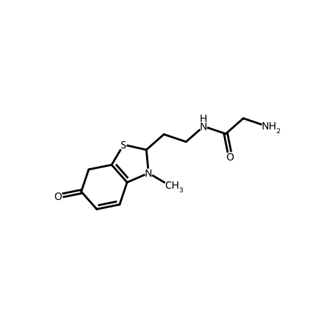 CN1C2=C(CC(=O)C=C2)SC1CCNC(=O)CN